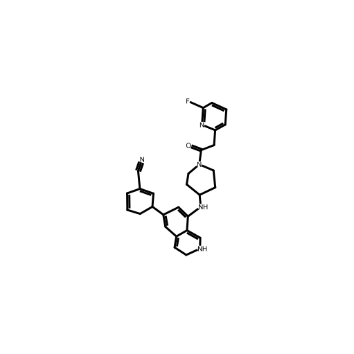 N#CC1=CC(c2cc(NC3CCN(C(=O)Cc4cccc(F)n4)CC3)c3c(c2)=CCNC=3)CC=C1